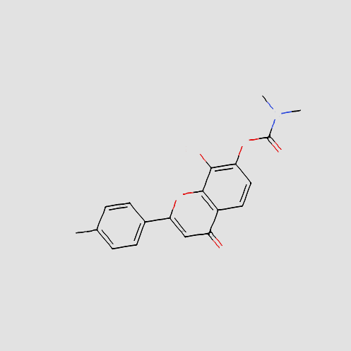 CCCCCc1ccc(-c2cc(=O)c3ccc(OC(=O)N(C)C)c(O)c3o2)cc1